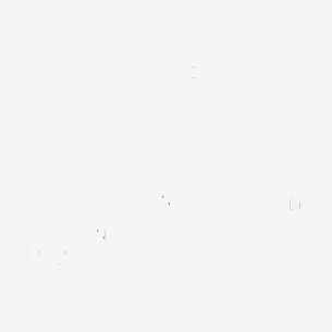 CCOC(=O)N1CCN(c2cc(Br)c(Cl)c(C(F)CC)c2)CC1